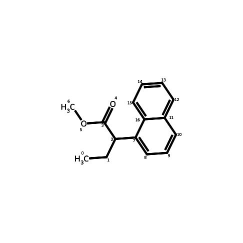 CCC(C(=O)OC)c1cccc2ccccc12